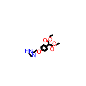 CCOC(=O)C(C(=O)OCC)c1ccc(OCC2=NCCN2)cc1